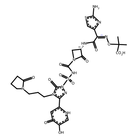 CC(C)(O/N=C(\C(=O)N[C@H]1CN(C(=O)NS(=O)(=O)n2nc(-c3cc(=O)c(O)c[nH]3)n(CCCN3CCCC3=O)c2=O)C1=O)c1csc(N)n1)C(=O)O